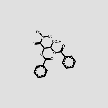 CCN(CC)C(=O)C(OC(=O)c1ccccc1)C(OC(=O)c1ccccc1)C(=O)O